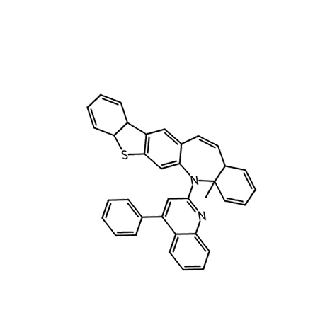 CC12C=CC=CC1C=Cc1cc3c(cc1N2c1cc(-c2ccccc2)c2ccccc2n1)SC1C=CC=CC31